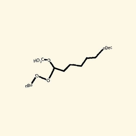 CCCCCCCCCCCCCCCC(OOCCCC)OC(=O)O